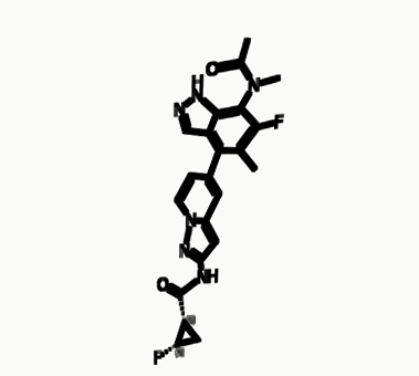 CC(=O)N(C)c1c(F)c(C)c(-c2ccn3nc(NC(=O)[C@@H]4C[C@@H]4F)cc3c2)c2cn[nH]c12